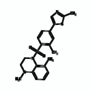 Cc1ncc(-c2ccc(S(=O)(=O)N3CCN(C)c4cccc(C)c43)c(C)c2)s1